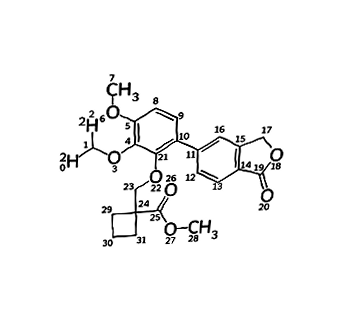 [2H]C([2H])Oc1c(OC)ccc(-c2ccc3c(c2)COC3=O)c1OCC1(C(=O)OC)CCC1